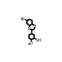 COc1ccc(-c2cnc3ccc(Br)cc3n2)cc1S